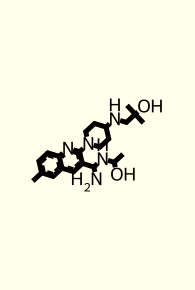 Cc1ccc2nc(N3CCC(NCC(C)(C)O)CC3)c(C(N)NC(C)O)cc2c1